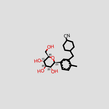 Cc1ccc([C@@H]2O[C@H](CO)[C@@H](O)[C@H](O)[C@H]2O)cc1CC1CCC(C#N)CC1